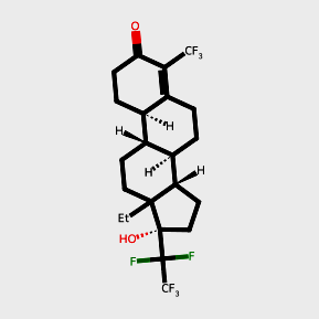 CCC12CC[C@H]3[C@@H](CCC4=C(C(F)(F)F)C(=O)CC[C@@H]43)[C@@H]1CC[C@@]2(O)C(F)(F)C(F)(F)F